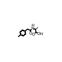 Cc1ccc(CC(=O)N[C@@H](C)C(=O)O)cc1